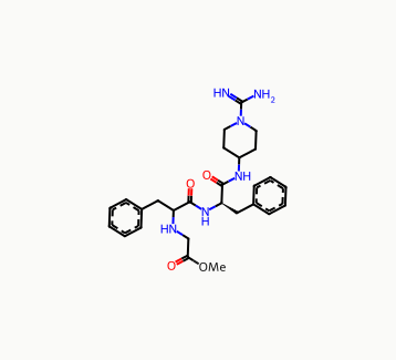 COC(=O)CNC(Cc1ccccc1)C(=O)N[C@H](Cc1ccccc1)C(=O)NC1CCN(C(=N)N)CC1